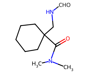 CN(C)C(=O)C1(CNC=O)CCCCC1